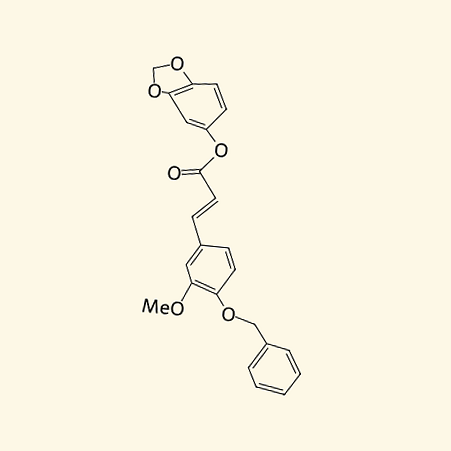 COc1cc(/C=C/C(=O)Oc2ccc3c(c2)OCO3)ccc1OCc1ccccc1